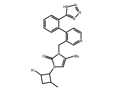 CCCCc1cn(C2C(C)CC2C(C)=O)c(=O)n1Cc1cnccc1-c1ccccc1-c1nnn[nH]1